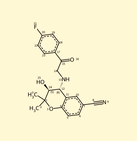 CC1(C)Oc2ccc(C#N)cc2[C@@H](NCC(=O)c2ccc(F)cc2)[C@@H]1O